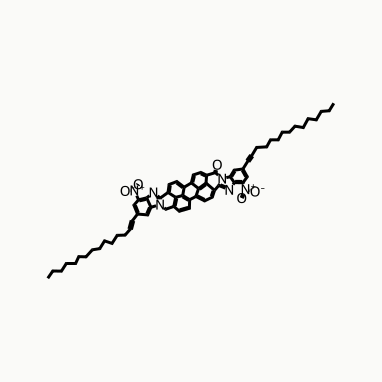 CCCCCCCCCCCCCC#Cc1cc([N+](=O)[O-])c2nc3n(c2c1)Cc1ccc2c4ccc5c6c(ccc(c7ccc-3c1c72)c46)c(=O)n1c2cc(C#CCCCCCCCCCCCCC)cc([N+](=O)[O-])c2nc51